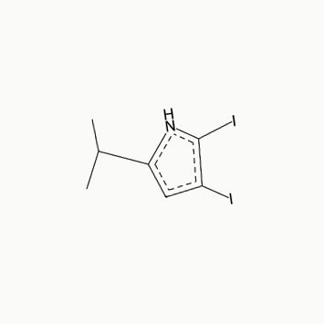 CC(C)c1cc(I)c(I)[nH]1